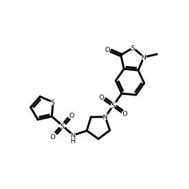 Cn1sc(=O)c2cc(S(=O)(=O)N3CCC(NS(=O)(=O)c4cccs4)C3)ccc21